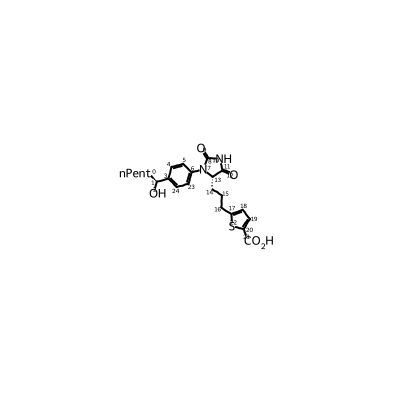 CCCCC[C@H](O)c1ccc(N2C(=O)NC(=O)[C@@H]2CCCc2ccc(C(=O)O)s2)cc1